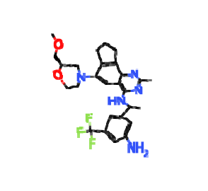 COC[C@H]1CN(c2cc3c(NC(C)c4cc(N)cc(C(F)(F)F)c4)nc(C)nc3c3c2CCC3)CCO1